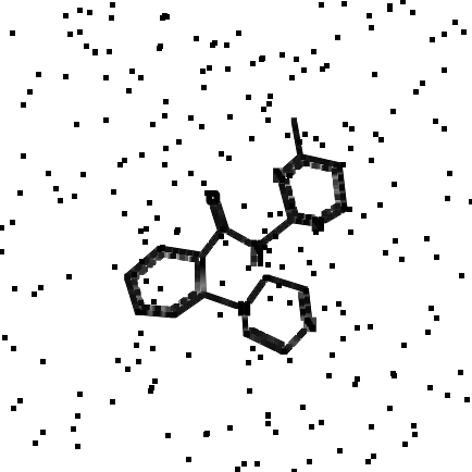 Cc1ccnc(NC(=O)c2ccccc2N2C=CN=CC2)n1